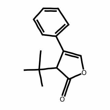 CC(C)(C)C1C(=O)OC=C1c1ccccc1